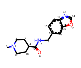 CN1CCC(C(=O)NCc2ccc3ncoc3c2)CC1